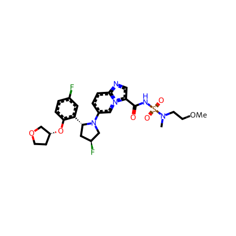 COCCN(C)S(=O)(=O)NC(=O)c1cnc2ccc(N3C[C@@H](F)C[C@@H]3c3cc(F)ccc3O[C@@H]3CCOC3)cn12